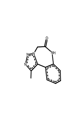 Cc1nnn2c1-c1ccccc1NC(=O)C2